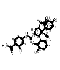 C=C(C)C[C@@H]1N[C@@H](C(=O)Nc2ccc(C(N)=O)c(Cl)c2)[C@H](c2cccc(Cl)c2F)[C@@]1(C#N)c1ccc(Cl)cc1F